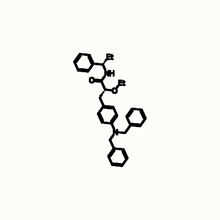 CCO[C@H](Cc1ccc(N(Cc2ccccc2)Cc2ccccc2)cc1)C(=O)N[C@@H](CC)c1ccccc1